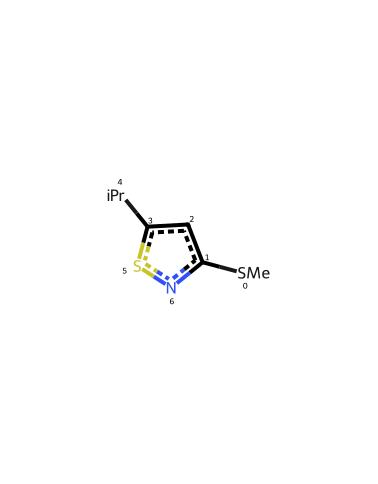 CSc1cc(C(C)C)sn1